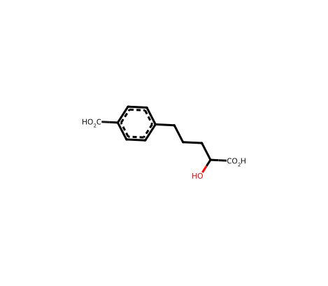 O=C(O)c1ccc(CCCC(O)C(=O)O)cc1